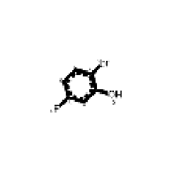 Oc1[c]c(F)ccc1Br